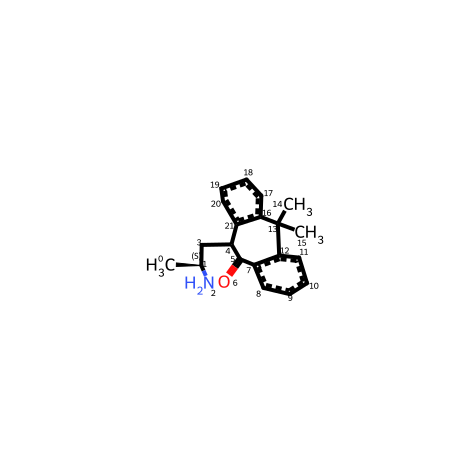 C[C@H](N)CC1C(=O)c2ccccc2C(C)(C)c2ccccc21